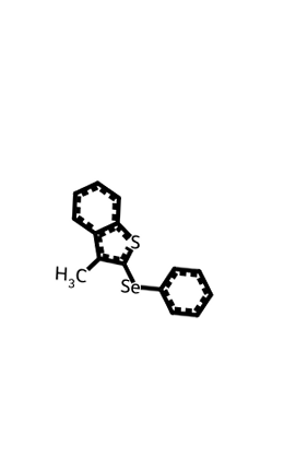 Cc1c([Se]c2ccccc2)sc2ccccc12